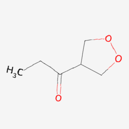 CCC(=O)C1COOC1